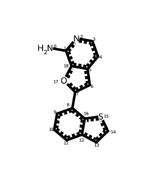 Nc1nccc2cc(-c3cccc4ccsc34)oc12